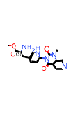 COC(=O)[C@@H](N)CC1=CNC(n2c(=O)c3ccncc3n(C)c2=O)C=C1